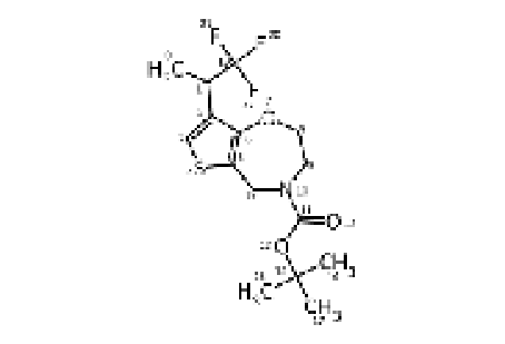 CC(c1csc2c1OCCN(C(=O)OC(C)(C)C)C2)C(F)(F)F